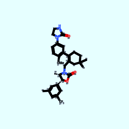 COc1ccc(N2CCNC2=O)cc1C1=C(CN2C(=O)O[C@H](c3cc(C)cc(C(F)(F)F)c3)[C@@H]2C)CC(C)(C)CC1